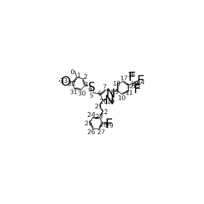 Cc1cc(SCc2cn(-c3ccc(C(F)(F)F)cc3)nc2CCc2ccccc2F)ccc1[O]